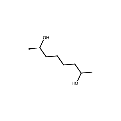 CC(O)CCCC[C@@H](C)O